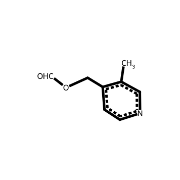 Cc1cnccc1COC=O